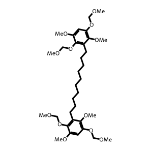 COCOc1cc(OC)c(OCOC)c(CCCCCCCCCCc2c(OC)c(OCOC)cc(OC)c2OCOC)c1OC